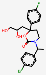 CC(c1ccc(Br)cc1)N1CCC(C[C@@H](O)CO)(c2ccc(F)cc2)OC1=O